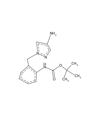 CC(C)(C)OC(=O)Nc1ccccc1Cn1cc(N)cn1